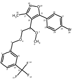 COC(COCc1cccc(C(F)(F)F)c1)c1c(C)noc1-c1ccc(Br)cc1